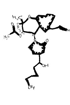 CC(=O)O[C@H]1[C@H](n2ccc(C(O)CCCO)cc2=O)c2cc(C#N)ccc2OC1(C)C